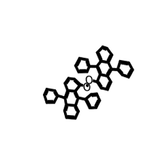 c1ccc(-c2c3ccccc3c(-c3ccccc3)c3c(OOc4cccc5c(-c6ccccc6)c6ccccc6c(-c6ccccc6)c45)cccc23)cc1